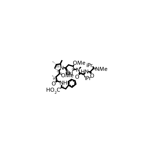 CC[C@H](C)[C@@H](C(CC(=O)N1C(C)[C@@H](C)C[C@H]1[C@H](OC)[C@@H](C)C(=O)N[C@@H](Cc1ccccc1)C(=O)O)OC)N(C)C(=O)[C@@H](NC(=O)[C@@H](NC)C(C)C)C(C)C